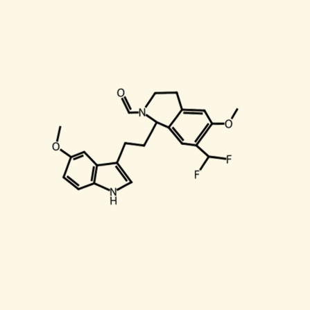 COc1ccc2[nH]cc(CCC3c4cc(C(F)F)c(OC)cc4CCN3C=O)c2c1